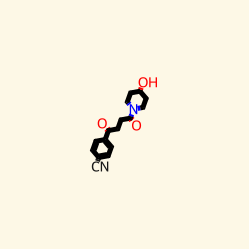 N#Cc1ccc(C(=O)CCC(=O)N2CCC(O)CC2)cc1